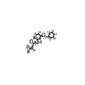 O=C(Nc1cc(OCc2ccccc2)ccn1)C1CC1(F)F